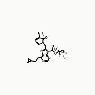 CC(C)(C)OC(=O)n1c(Cn2cccc(N)c2=O)nc2c(CCC3CC3)ncnc21